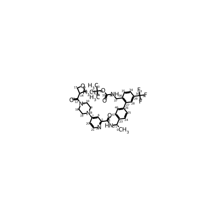 C[C@@H](NC(=O)c1cc(N2CCN(C(=O)C3COC3)CC2)ccn1)c1ccc(-c2cc(C(F)(F)F)ccc2CNC(=O)OC(C)(C)C)cc1